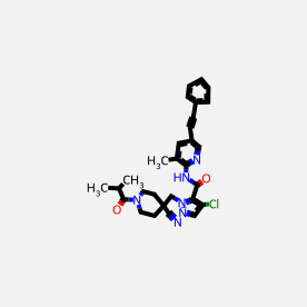 Cc1cc(C#Cc2ccccc2)cnc1NC(=O)c1c(Cl)cnn1CC1(C#N)CCN(C(=O)C(C)C)CC1